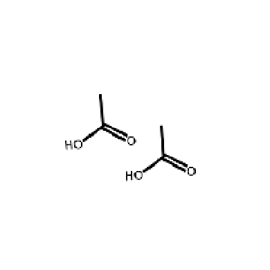 CC(=O)O.CC(=O)O